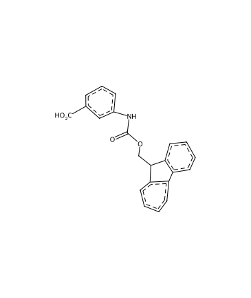 O=C(Nc1cccc(C(=O)O)c1)OCC1c2ccccc2-c2ccccc21